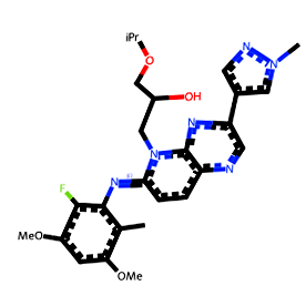 COc1cc(OC)c(F)c(/N=c2\ccc3ncc(-c4cnn(C)c4)nc3n2CC(O)COC(C)C)c1C